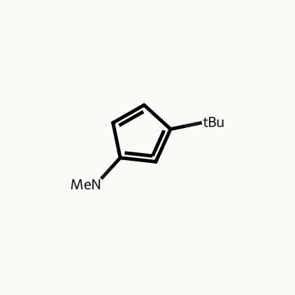 CNC1=C=C(C(C)(C)C)C=C1